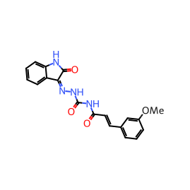 COc1cccc(/C=C/C(=O)NC(=O)N/N=C2\C(=O)Nc3ccccc32)c1